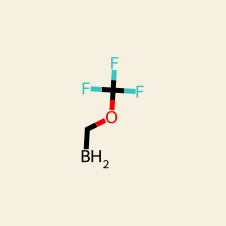 BCOC(F)(F)F